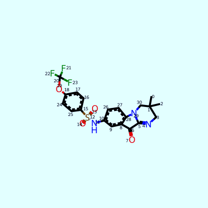 CC1(C)CN=C2C(=O)c3cc(NS(=O)(=O)c4ccc(OC(F)(F)F)cc4)ccc3N2C1